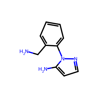 NCc1ccccc1-n1nccc1N